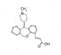 CN1CCC(=C2c3ccccc3COc3c(C=CC(=O)O)cccc32)CC1